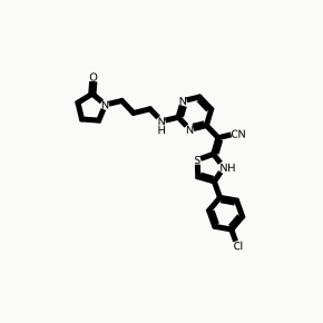 N#CC(=C1NC(c2ccc(Cl)cc2)=CS1)c1ccnc(NCCCN2CCCC2=O)n1